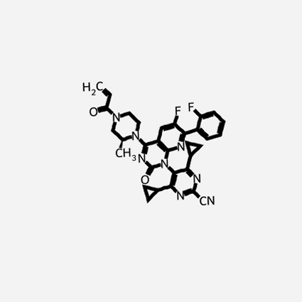 C=CC(=O)N1CCN(c2nc(=O)n(-c3c(C4CC4)nc(C#N)nc3C3CC3)c3nc(-c4ccccc4F)c(F)cc23)[C@@H](C)C1